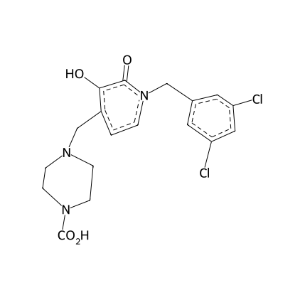 O=C(O)N1CCN(Cc2ccn(Cc3cc(Cl)cc(Cl)c3)c(=O)c2O)CC1